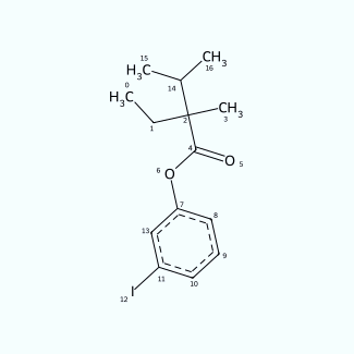 CCC(C)(C(=O)Oc1cccc(I)c1)C(C)C